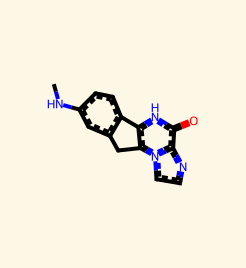 CNc1ccc2c(c1)Cc1c-2[nH]c(=O)c2nccn12